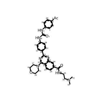 CC(=O)c1ccc(NC(=O)Nc2ccc(-c3nc(N4CCOCC4)c4ccc(C(=O)NCCN(C)C)cc4n3)cc2)cc1